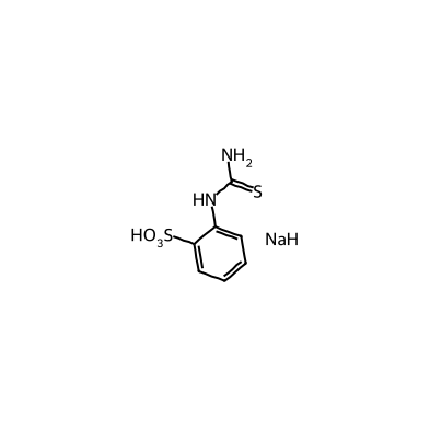 NC(=S)Nc1ccccc1S(=O)(=O)O.[NaH]